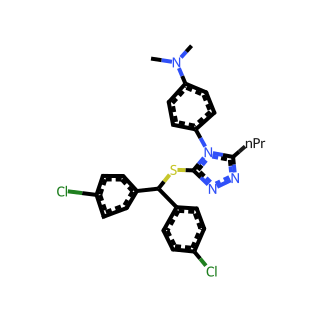 CCCc1nnc(SC(c2ccc(Cl)cc2)c2ccc(Cl)cc2)n1-c1ccc(N(C)C)cc1